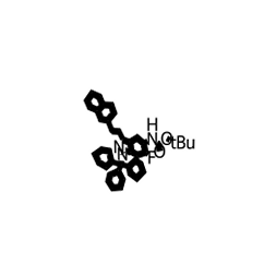 CC(C)(C)OC(=O)Nc1cc2c(/C=C/c3ccc4ccccc4c3)nn(C(c3ccccc3)(c3ccccc3)c3ccccc3)c2cc1F